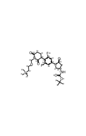 CC(C)(C)OC(=O)N[C@@H]1CC(=O)N(c2cc(F)c(C3CCC(=O)N(COCC[Si](C)(C)C)C3=O)c(F)c2)C1